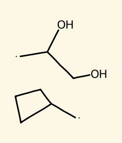 [CH2]C(O)CO.[CH2]C1CCC1